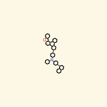 c1ccc(N(c2ccc(-c3ccc4c5ccccc5c5c(ccc6oc7ccccc7c65)c4c3)cc2)c2ccc(-c3cccc4ccccc34)cc2)cc1